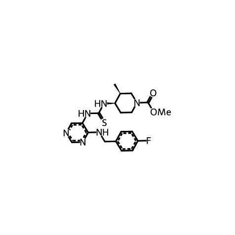 COC(=O)N1CC[C@@H](NC(=S)Nc2cncnc2NCc2ccc(F)cc2)[C@@H](C)C1